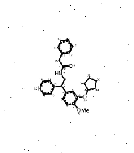 COc1ccc(C(CNC(=O)Cc2ccccc2)c2ccncc2)cc1OC1CCCC1